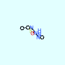 O=C(Cc1nc2ccc(-c3ccccc3)cc2s1)NCc1nc2ccccc2[nH]1